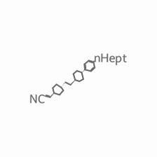 CCCCCCCc1ccc([C@H]2CC[C@H](CC[C@H]3CC[C@H](C=CC#N)CC3)CC2)cc1